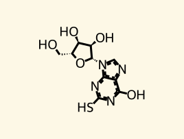 OC[C@H]1O[C@@H](n2cnc3c(O)nc(S)nc32)[C@H](O)[C@@H]1O